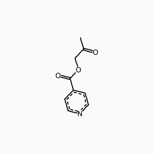 CC(=O)COC(=O)c1ccncc1